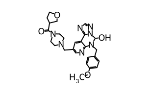 COc1ccc(CN2c3ncc(CN4CCN(C(=O)C5CCOC5)CC4)cc3-c3ncnn3C2O)cc1